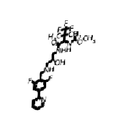 COC(=O)NC(C(=O)NC[C@@H](O)CNCc1c(F)cc(-c2ccccn2)cc1F)C(C)(C)C(F)(F)F